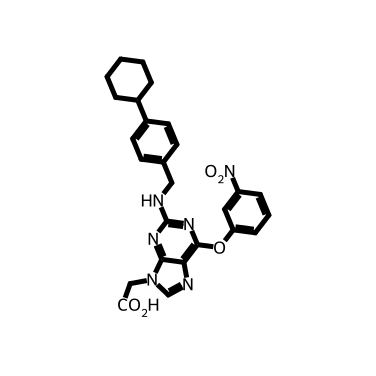 O=C(O)Cn1cnc2c(Oc3cccc([N+](=O)[O-])c3)nc(NCc3ccc(C4CCCCC4)cc3)nc21